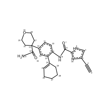 C#Cc1c[nH]c(C(=O)Nc2ccc(C3(C(N)=O)CCOCC3)cc2C2=CCCCC2)n1